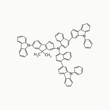 CC1(C)c2cc(N(c3ccc(-c4ccc5c6ccccc6n(-c6ccccc6)c5c4)c4ccccc34)c3ccc(-c4ccc5c6ccccc6n(-c6ccccc6)c5c4)c4ccccc34)ccc2-c2ccc(-n3c4ccccc4c4ccccc43)cc21